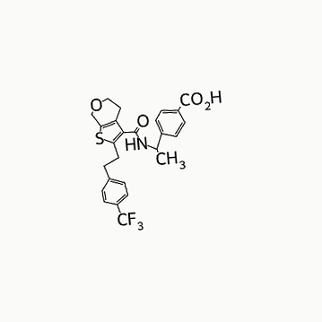 CC(NC(=O)c1c(CCc2ccc(C(F)(F)F)cc2)sc2c1CCOC2)c1ccc(C(=O)O)cc1